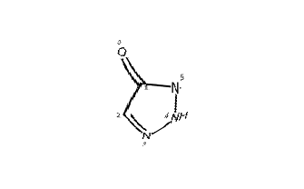 O=C1C=NN[N]1